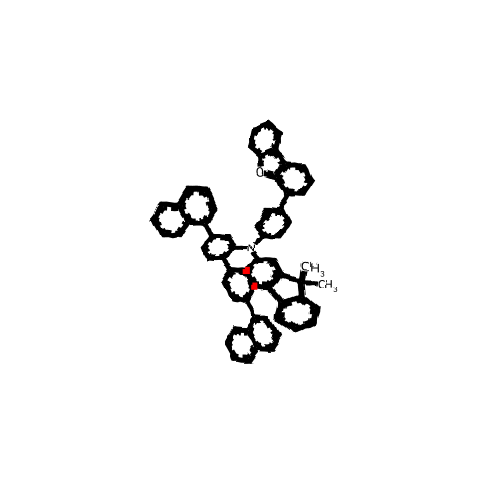 CC1(C)c2ccccc2-c2ccc(N(c3ccc(-c4cccc5c4oc4ccccc45)cc3)c3cc(-c4cccc5ccccc45)ccc3-c3ccc(-c4cccc5ccccc45)cc3)cc21